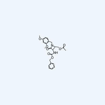 COc1ccc(CN2C(=O)C(NC(=O)OCc3ccccc3)C2COC(C)=O)c(OC)c1